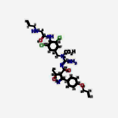 C=CCNCC(=O)Nc1c(Cl)cc(CN(C(=O)O)C(N)=NC(=O)c2c(-c3ccc(OCC=C)cc3)noc2C)cc1Cl